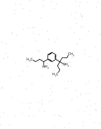 CCCC(N)c1cccc(C(N)(CCC)CCC)c1